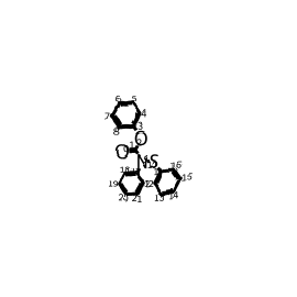 O=C(Oc1ccccc1)N(Sc1ccccc1)c1ccccc1